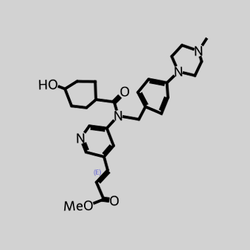 COC(=O)/C=C/c1cncc(N(Cc2ccc(N3CCN(C)CC3)cc2)C(=O)C2CCC(O)CC2)c1